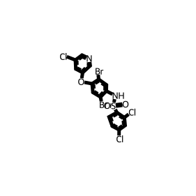 O=S(=O)(Nc1cc(Br)c(Oc2cncc(Cl)c2)cc1Br)c1ccc(Cl)cc1Cl